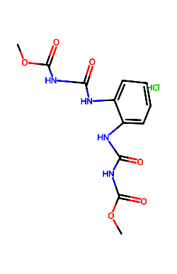 COC(=O)NC(=O)Nc1ccccc1NC(=O)NC(=O)OC.Cl